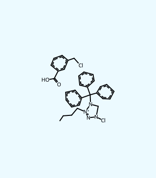 CCCC[N+]1=NN(Cl)CN1C(c1ccccc1)(c1ccccc1)c1ccccc1.O=C(O)c1cccc(CCl)c1